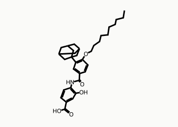 CCCCCCCCCCOc1ccc(C(=O)Nc2ccc(C(=O)O)cc2O)cc1C12CC3CC(CC(C3)C1)C2